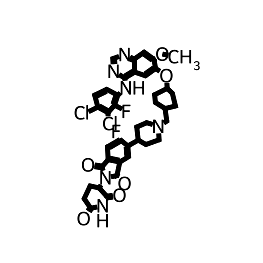 COc1cc2ncnc(Nc3ccc(Cl)c(Cl)c3F)c2cc1OC1CCC(CN2CCC(c3cc4c(cc3F)C(=O)N(C3CCC(=O)NC3=O)C4=O)CC2)CC1